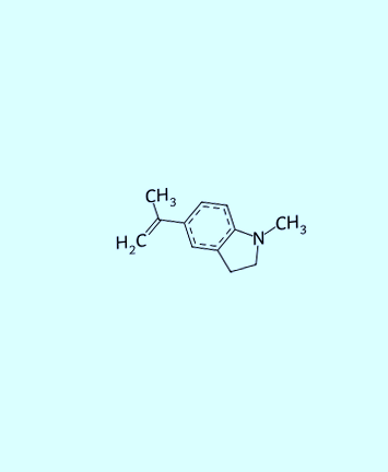 C=C(C)c1ccc2c(c1)CCN2C